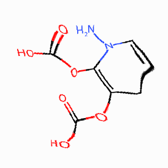 NN1C=CCC(OC(=O)O)=C1OC(=O)O